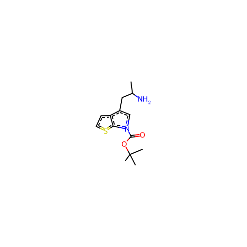 CC(N)Cc1cn(C(=O)OC(C)(C)C)c2sccc12